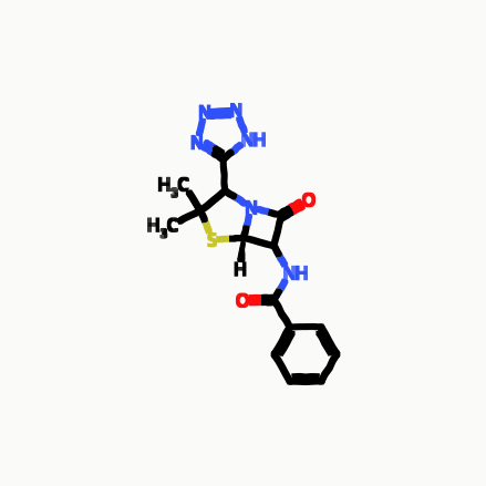 CC1(C)S[C@H]2C(NC(=O)c3ccccc3)C(=O)N2C1c1nnn[nH]1